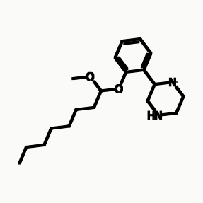 CCCCCCCC(OC)Oc1ccccc1C1CNCC[N]1